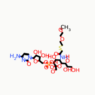 COCCOCCSCC(=O)N[C@H]1C([C@H](O)[C@H](O)CO)OC(C=O)(OP(=O)(O)OCC2OC(n3ccc(N)nc3=O)[C@H](O)[C@@H]2O)C[C@H]1O